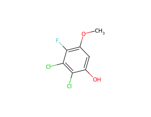 COc1cc(O)c(Cl)c(Cl)c1F